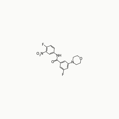 O=C(Nc1ccc(F)c([N+](=O)[O-])c1)c1cc(F)cc(N2CCOCC2)c1